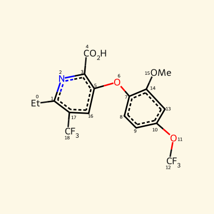 CCc1nc(C(=O)O)c(Oc2ccc(OC(F)(F)F)cc2OC)cc1C(F)(F)F